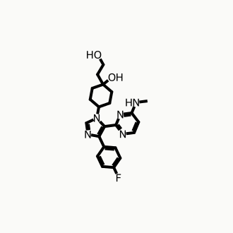 CNc1ccnc(-c2c(-c3ccc(F)cc3)ncn2C2CCC(O)(CCO)CC2)n1